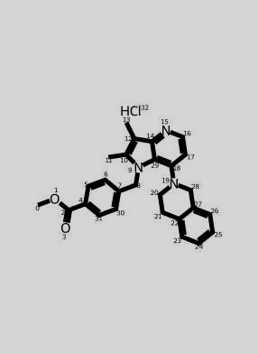 COC(=O)c1ccc(Cn2c(C)c(C)c3nccc(N4CCc5ccccc5C4)c32)cc1.Cl